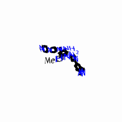 COc1cc(N(C)C2CCN(C3CCN(C)CC3)CC2)c(N)cc1Nc1cc(-c2ccc3c(cnn3C)c2)ncn1